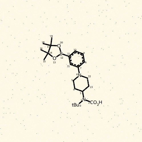 CC(C)(C)N(C(=O)O)C1CCN(c2cccc(B3OC(C)(C)C(C)(C)O3)c2)CC1